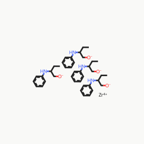 CCC(C[O-])Nc1ccccc1.CCC(C[O-])Nc1ccccc1.CCC(C[O-])Nc1ccccc1.CCC(C[O-])Nc1ccccc1.[Zr+4]